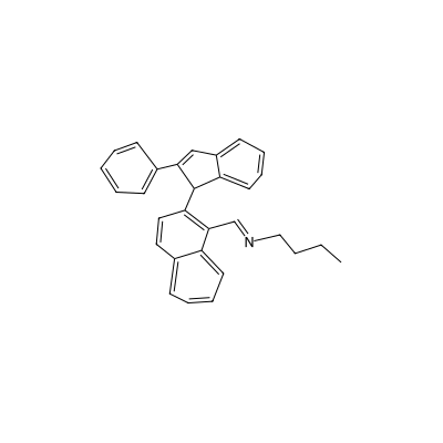 CCCCN=Cc1c(C2C(c3ccccc3)=Cc3ccccc32)ccc2ccccc12